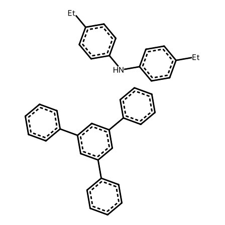 CCc1ccc(Nc2ccc(CC)cc2)cc1.c1ccc(-c2cc(-c3ccccc3)cc(-c3ccccc3)c2)cc1